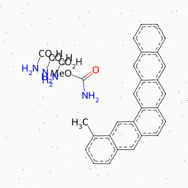 COC(N)=O.Cc1cccc2cc3ccc4cc5cc6ccccc6cc5cc4c3cc12.NC(=O)O.NC(=O)O.NC(=O)O